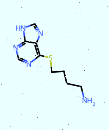 NCCCCSc1ncnc2[nH]cnc12